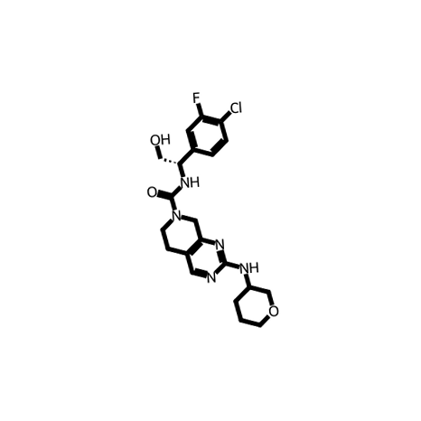 O=C(N[C@H](CO)c1ccc(Cl)c(F)c1)N1CCc2cnc(NC3CCCOC3)nc2C1